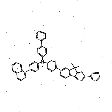 CC1(C)c2cc(C3=CCC(N(c4ccc(-c5ccccc5)cc4)c4ccc(-c5cccc6ccccc56)cc4)C=C3)ccc2-c2ccc(-c3ccccc3)cc21